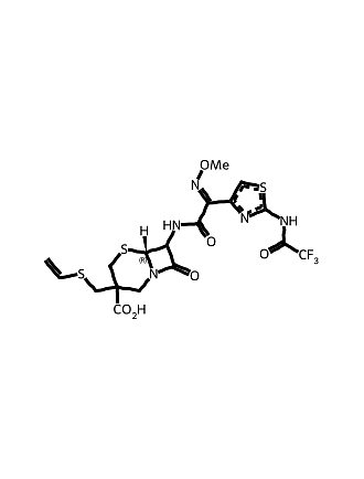 C=CSCC1(C(=O)O)CS[C@@H]2C(NC(=O)C(=NOC)c3csc(NC(=O)C(F)(F)F)n3)C(=O)N2C1